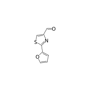 O=Cc1csc(-c2ccco2)n1